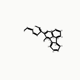 C\C=C/C=C\C(=C/C)c1cc2cccc3c2c(c1C)-c1ccccc1-3